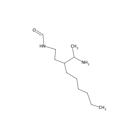 CCCCCCC(CCNC=O)C(C)N